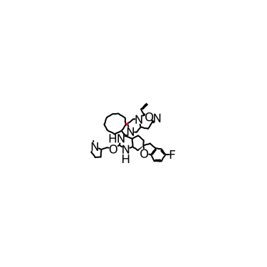 C=CC(=O)N1CCN(C2(C3CCCCCCCC3)NC(OCC3CCCN3C)NC3C[C@@]4(CCC32)Cc2cc(F)ccc2O4)CC1CC#N